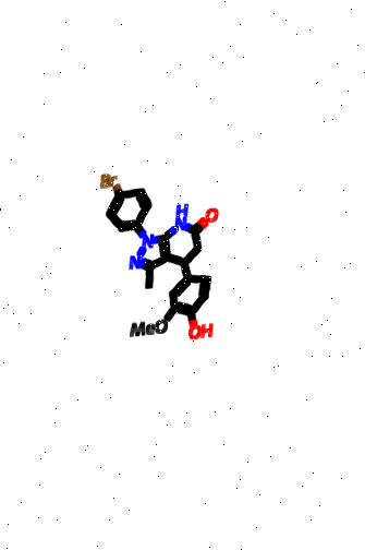 COc1cc(C2CC(=O)Nc3c2c(C)nn3-c2ccc(Br)cc2)ccc1O